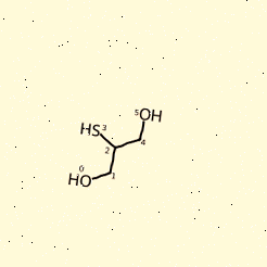 OCC(S)CO